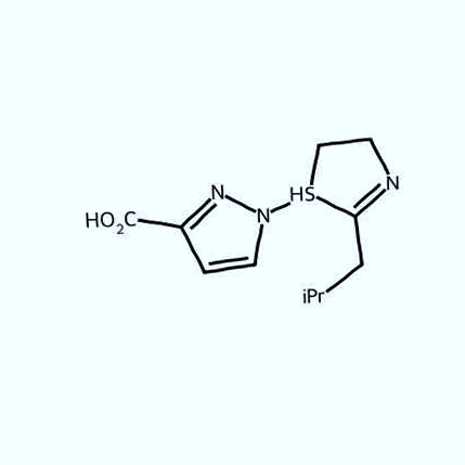 CC(C)CC1=NCC[SH]1n1ccc(C(=O)O)n1